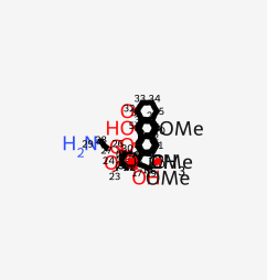 COc1c2c(c(O)c3c4c(c(C)cc13)C1C3OC(O)(C(OC)OC)C1[C@]1(CO1)[C@]3(OCCN)O4)C(=O)CCC2